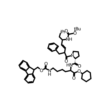 CC(C)CC(/C=C/C(Cc1ccccc1)C(=O)N1CCC[C@@H]1C(=O)NC(CCCCNC(=O)OCC1c2ccccc2-c2ccccc21)C(=O)OC1CCCCC1)NC(=O)OC(C)(C)C